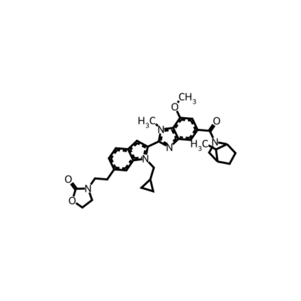 COc1cc(C(=O)N2CC3CCC2C3C)cc2nc(-c3cc4ccc(CCN5CCOC5=O)cc4n3CC3CC3)n(C)c12